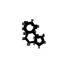 c1cc2n(c1)-c1ncncc1CC2